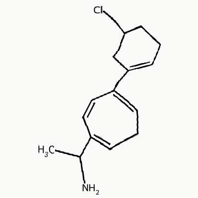 CC(N)C1=CCC=C(C2=CCCC(Cl)C2)C=C1